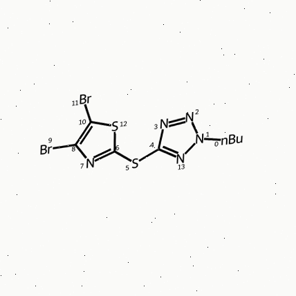 CCCCn1nnc(Sc2nc(Br)c(Br)s2)n1